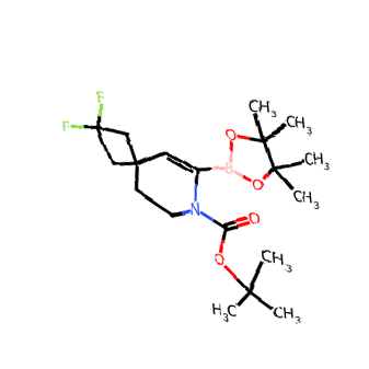 CC(C)(C)OC(=O)N1CCC2(C=C1B1OC(C)(C)C(C)(C)O1)CC(F)(F)C2